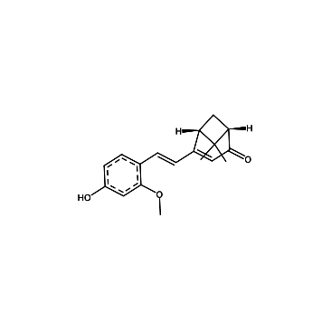 COc1cc(O)ccc1C=CC1=CC(=O)[C@H]2C[C@@H]1C2(C)C